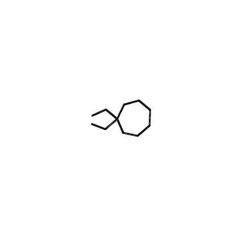 CCC1(CC)CCCCCC1